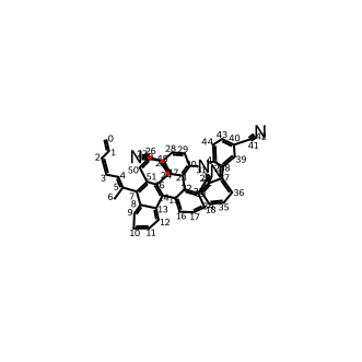 C=C/C=C\C=C(/C)c1c2ccccc2c(-c2cccc(C#N)c2-c2cc(C#N)ccc2-n2c3ccccc3c3cc(C#N)ccc32)c2ccccc12